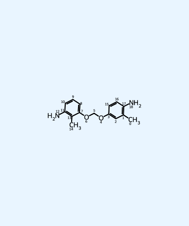 Cc1cc(OCOc2cccc(N)c2C)ccc1N